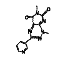 Cn1nc(-c2cccnc2)nc2c(=O)n(C)c(=O)nc1-2